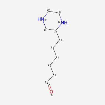 O=[C]CCCCCC1CNCCN1